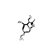 CCOc1cc(Br)c2c(C=O)c(F)nn2c1